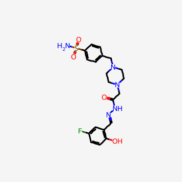 NS(=O)(=O)c1ccc(CN2CCN(CC(=O)NN=Cc3cc(F)ccc3O)CC2)cc1